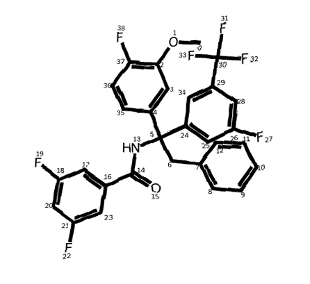 COc1cc(C(Cc2ccccc2)(NC(=O)c2cc(F)cc(F)c2)c2cc(F)cc(C(F)(F)F)c2)ccc1F